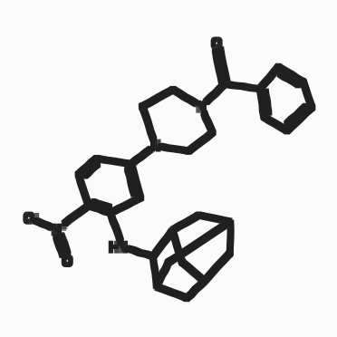 O=C(c1ccccc1)N1CCN(c2ccc([N+](=O)[O-])c(NC3C4CC5CC(C4)CC3C5)c2)CC1